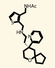 CC(=O)NCc1ccsc1CNCC[C@@]1(c2ccccn2)CCOC2(CCCC2)C1